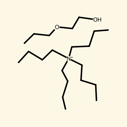 CCCC[N+](CCCC)(CCCC)CCCC.CCCOCCO